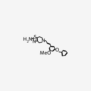 COc1cc(C=CCN2CCc3nc(N)sc3CC2)cc(OCc2ccccc2)c1